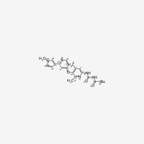 Cc1cc(NC(=O)NC(=O)C(C)(C)C)nc(C)c1Oc1ccnc(-c2cnn(C)c2)c1